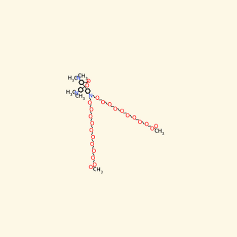 CC(=O)OCCOCCOCCOCCOCCOCCOCCOCCOCCOCCN(CCOCCOCCOCCOCCOCCOCCOCCOCCOCCOC(C)=O)c1ccc(C2(c3ccc(N(C)C)cc3)OC(=O)c3cc(N(C)C)ccc32)cc1